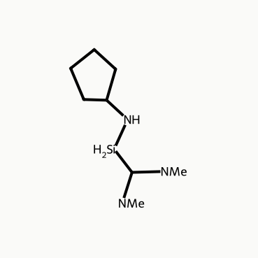 CNC(NC)[SiH2]NC1CCCC1